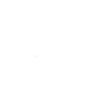 CC(C)(C)C=CC1(C)C=CC=CC1